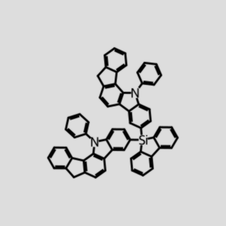 c1ccc(-n2c3ccc([Si]4(c5ccc6c(c5)c5ccc7c(c5n6-c5ccccc5)-c5ccccc5C7)c5ccccc5-c5ccccc54)cc3c3ccc4c(c32)-c2ccccc2C4)cc1